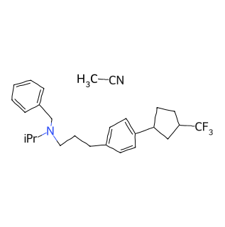 CC#N.CC(C)N(CCCc1ccc(C2CCC(C(F)(F)F)C2)cc1)Cc1ccccc1